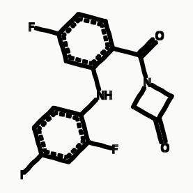 O=C1CN(C(=O)c2ccc(F)cc2Nc2ccc(I)cc2F)C1